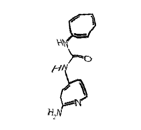 Nc1cc(NC(=O)Nc2ccccc2)ccn1